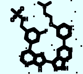 CN(C)CCOc1cncc(-c2cc3c(-c4nc5c(-c6cc(F)cc(CNS(C)(=O)=O)c6)ccnc5[nH]4)n[nH]c3cn2)c1